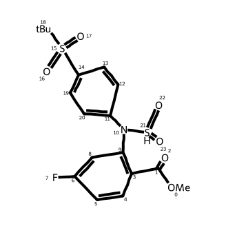 COC(=O)c1ccc(F)cc1N(c1ccc(S(=O)(=O)C(C)(C)C)cc1)[SH](=O)=O